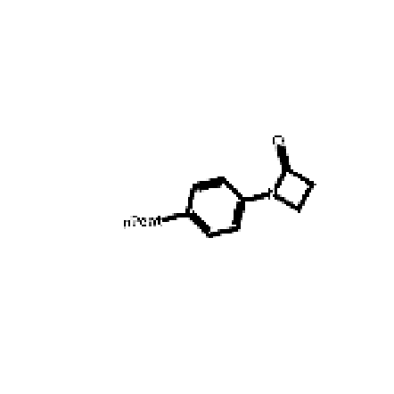 CCCCCc1ccc(N2CCC2=O)cc1